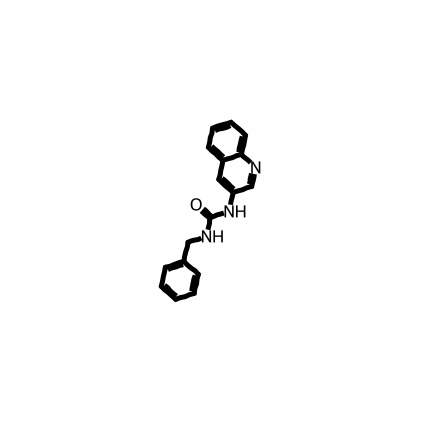 O=C(NCc1ccccc1)Nc1cnc2ccccc2c1